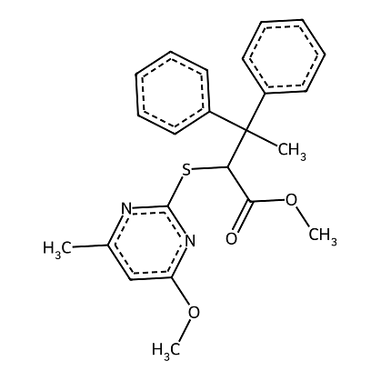 COC(=O)C(Sc1nc(C)cc(OC)n1)C(C)(c1ccccc1)c1ccccc1